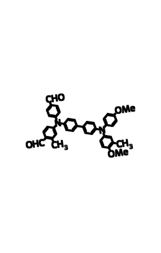 COc1ccc(N(c2ccc(-c3ccc(N(c4ccc(C=O)cc4)c4ccc(C=O)c(C)c4)cc3)cc2)c2ccc(OC)c(C)c2)cc1